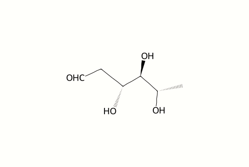 C[C@H](O)[C@H](O)[C@H](O)CC=O